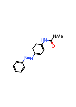 CNC(=O)NC1=CC=C(N=Nc2ccccc2)CC1